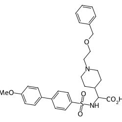 COc1ccc(-c2ccc(S(=O)(=O)NC(C(=O)O)C3CCN(CCOCc4ccccc4)CC3)cc2)cc1